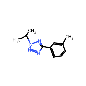 Cc1cccc(-c2nnn(C(C)C)n2)c1